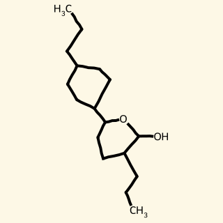 CCCC1CCC(C2CCC(CCC)C(O)O2)CC1